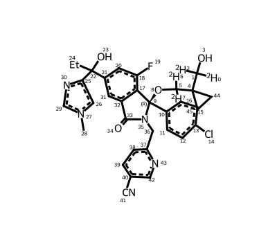 [2H]C([2H])(O)C1(C([2H])([2H])O[C@]2(c3ccc(Cl)cc3)c3c(F)cc(C(O)(CC)c4cn(C)cn4)cc3C(=O)N2Cc2ccc(C#N)cn2)CC1